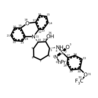 CCCN=S(=O)(N[C@@H]1CCCC[C@H](N2c3ccccc3Oc3ccccc32)[C@H]1O)c1ccc(OC(F)(F)F)cc1